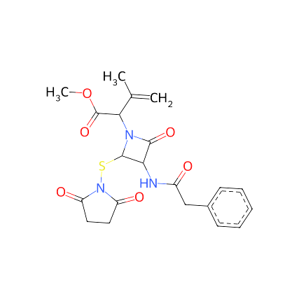 C=C(C)C(C(=O)OC)N1C(=O)C(NC(=O)Cc2ccccc2)C1SN1C(=O)CCC1=O